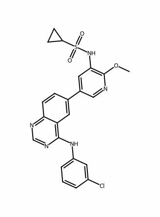 COc1ncc(-c2ccc3ncnc(Nc4cccc(Cl)c4)c3c2)cc1NS(=O)(=O)C1CC1